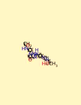 C=CC(=O)Nc1cccc(-n2ccc(=O)c3cnc(Nc4ccc(N5CCN(CC(C)O)CC5)cc4)nc32)c1